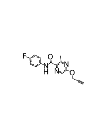 C#CCOc1cnc(C(=O)Nc2ccc(F)cc2)c(C)n1